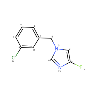 Fc1cn(Cc2cccc(Cl)c2)cn1